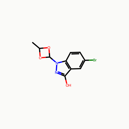 CC1OC(n2nc(O)c3cc(Br)ccc32)O1